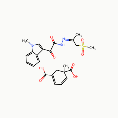 CC(CS(C)(=O)=O)=NNC(=O)C(=O)c1cn(C)c2ccccc12.CC1(C(=O)O)C=CC=C(C(=O)O)C1